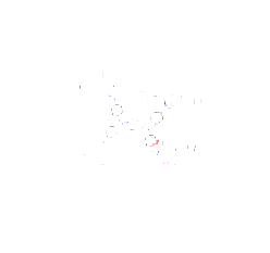 CCCCN(CCCC)c1ccc([N+](=C2C=CC(=[N+](c3ccc(N(CC(C)O)CC(C)O)cc3)c3ccc(N(CC(C)O)CC(C)O)cc3)C=C2)c2ccc(N(CCCC)CCCC)cc2)cc1